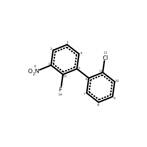 O=[N+]([O-])c1cccc(-c2ccccc2Cl)c1F